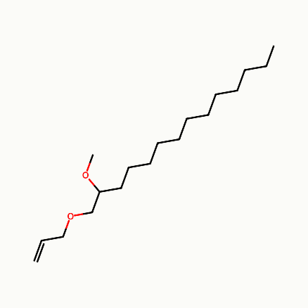 C=CCOCC(CCCCCCCCCCCC)OC